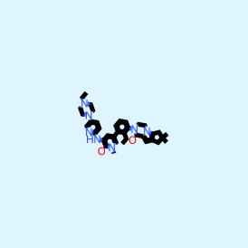 CCc1c(-c2cc(Nc3ccc(N4CCN(CC)CC4)cn3)c(=O)n(C)c2)cccc1N1CCn2c(cc3c2CC(C)(C)C3)C1=O